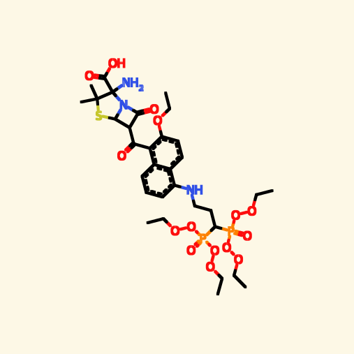 CCOOP(=O)(OOCC)C(CCNc1cccc2c(C(=O)C3C(=O)N4C3SC(C)(C)C4(N)C(=O)O)c(OCC)ccc12)P(=O)(OOCC)OOCC